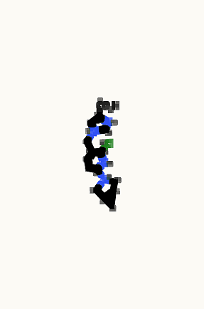 O=C(O)c1cn(Cc2ccc(N3CC4CC4C3)nc2Cl)cn1